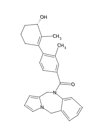 CC1=C(c2ccc(C(=O)N3Cc4cccn4Cc4ccccc43)cc2C)CCC[C@@H]1O